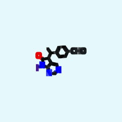 CC(c1ccc(C=O)cc1)C1C(=O)N(I)c2ncncc21